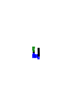 CC.NF